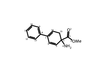 COC(=O)C1(N)C=CC(c2ccccc2)=CC1